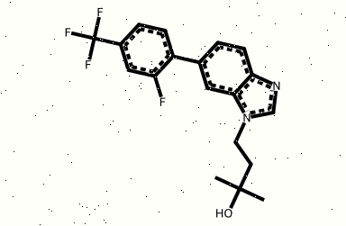 CC(C)(O)CCn1cnc2ccc(-c3ccc(C(F)(F)F)cc3F)cc21